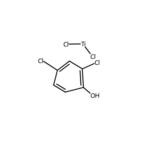 Oc1ccc(Cl)cc1Cl.[Cl][Ti][Cl]